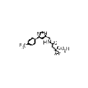 CC(C)N(CC(=O)NCc1cc(-c2ccc(C(F)(F)F)cc2)ncn1)C(=O)O